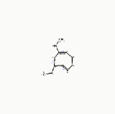 CNC1=C/CC/C=C/C(CO)=C\1